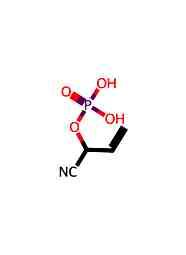 C=CC(C#N)OP(=O)(O)O